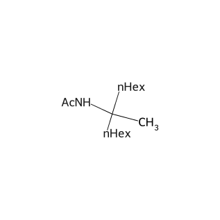 CCCCCCC(C)(CCCCCC)NC(C)=O